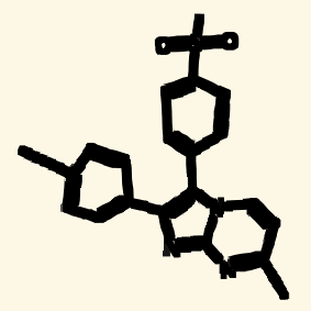 Cc1ccc(-c2nc3nc(C)ccn3c2-c2ccc(S(C)(=O)=O)cc2)cc1